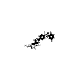 CN(C)Cc1n[nH]c2nc(-c3ccc(NS(=O)(=O)c4cc(Cl)ccc4F)cc3)ncc12